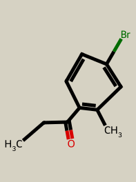 CCC(=O)c1ccc(Br)cc1C